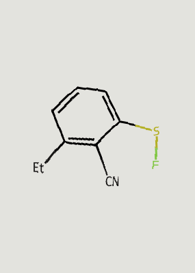 CCc1cccc(SF)c1C#N